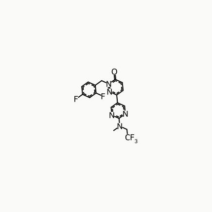 CN(CC(F)(F)F)c1ncc(-c2ccc(=O)n(Cc3ccc(F)cc3F)n2)cn1